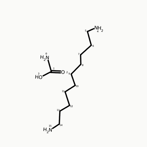 NC(=O)O.NCCCCCCCCCCN